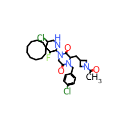 CC(=O)N1CC(CC2C(=O)N(C3NCC(Cl)C4(CCCCCCCCC4)C3F)CC(=O)N2Cc2ccc(Cl)cc2)C1